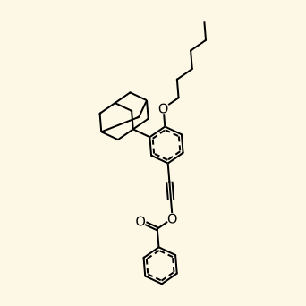 CCCCCCOc1ccc(C#COC(=O)c2ccccc2)cc1C12CC3CC(CC(C3)C1)C2